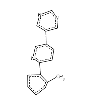 Cc1ccccc1-c1ccc(-c2cncnc2)cn1